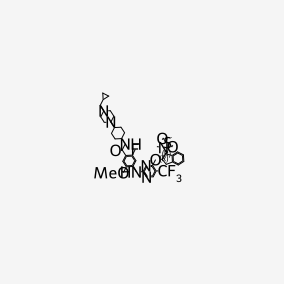 COc1cc(C(=O)N[C@H]2CC[C@H](N3CCN(CC4CC4)CC3)CC2)c(F)cc1Nc1ncc(C(F)(F)F)c(O[C@@H]2Cc3ccccc3[C@H]2N(C)S(C)(=O)=O)n1